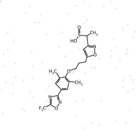 Cc1cc(-c2noc(C(F)(F)F)n2)cc(C)c1OCCCc1cc(C(C)S(=O)O)no1